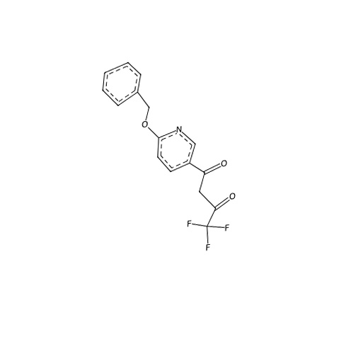 O=C(CC(=O)C(F)(F)F)c1ccc(OCc2ccccc2)nc1